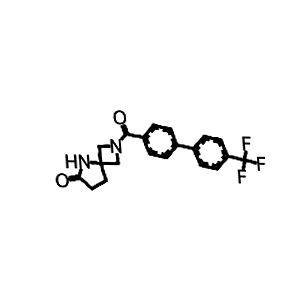 O=C1CCC2(CN(C(=O)c3ccc(-c4ccc(C(F)(F)F)cc4)cc3)C2)N1